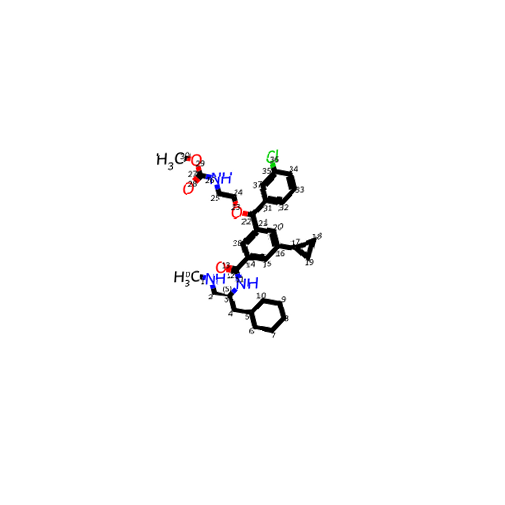 CNC[C@H](CC1CCCCC1)NC(=O)c1cc(C2CC2)cc(C(OCCNC(=O)OC)c2cccc(Cl)c2)c1